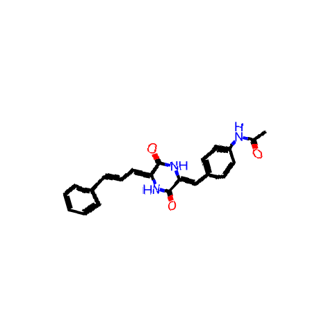 CC(=O)Nc1ccc(/C=c2\[nH]c(=O)/c(=C/C=Cc3ccccc3)[nH]c2=O)cc1